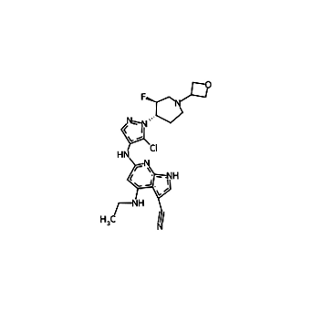 CCNc1cc(Nc2cnn([C@H]3CCN(C4COC4)C[C@@H]3F)c2Cl)nc2[nH]cc(C#N)c12